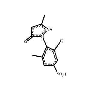 Cc1cc(=O)n(-c2c(C)cc(S(=O)(=O)O)cc2Cl)[nH]1